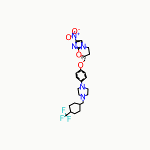 O=[N+]([O-])c1cn2c(n1)O[C@@H](COc1ccc(N3CCN(CC4CCC(C(F)(F)F)CC4)CC3)cc1)CC2